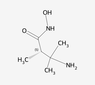 C[C@H](C(=O)NO)C(C)(C)N